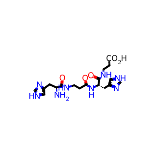 N[C@@H](Cc1c[nH]cn1)C(=O)NCCC(=O)N[C@@H](Cc1c[nH]cn1)C(=O)NCCC(=O)O